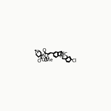 COC(=O)C1(N2C(=O)S/C(=C\c3ccc4c(cnn4Cc4ccc(Cl)cc4C(F)(F)F)c3)C2=O)CCN(C)CC1